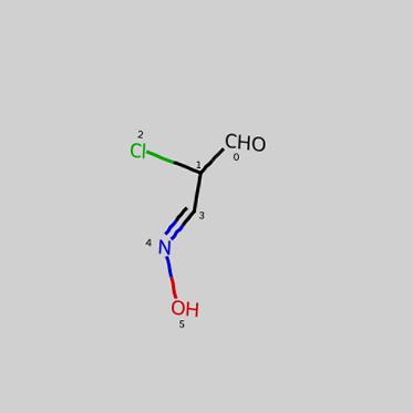 O=CC(Cl)/C=N/O